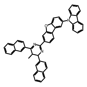 CC1C(c2ccc3ccccc3c2)=NC(c2ccc3c(c2)oc2ccc(-n4c5ccccc5c5ccccc54)cc23)=NC1c1ccc2ccccc2c1